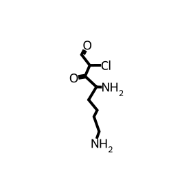 NCCCCC(N)C(=O)C(Cl)C=O